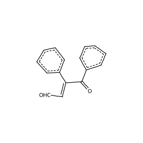 O=CC=C(C(=O)c1ccccc1)c1ccccc1